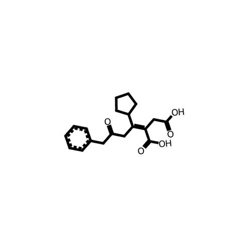 O=C(O)CC(C(=O)O)=C(CC(=O)Cc1ccccc1)C1CCCC1